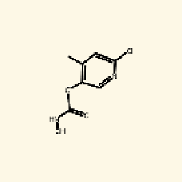 Cc1cc(Cl)ncc1OC(=O)NO